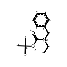 CCN(Cc1ccccc1)C(=O)OC(C)(C)C